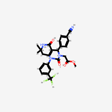 COC(=O)CN1C(=O)N(c2cccc(C(F)(F)F)c2)C2=C(C(=O)NC(C)(C)C2)C1c1ccc(C#N)cc1